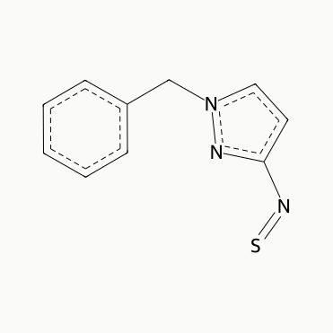 S=Nc1ccn(Cc2ccccc2)n1